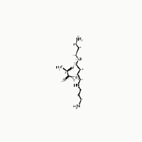 CC(=O)C(C)=O.NCCCNCCCCNCCCN